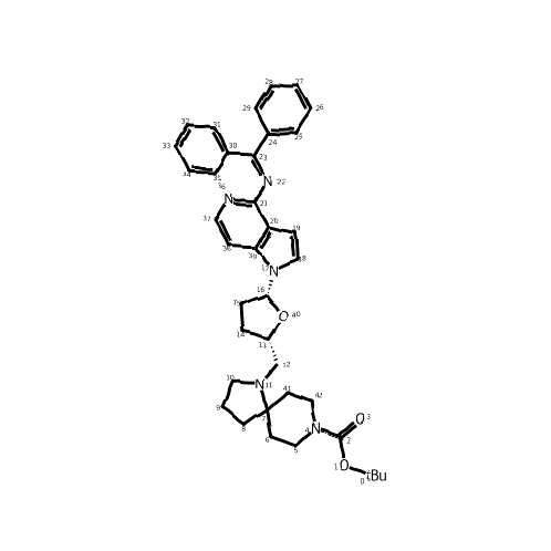 CC(C)(C)OC(=O)N1CCC2(CCCN2C[C@@H]2CC[C@H](n3ccc4c(N=C(c5ccccc5)c5ccccc5)nccc43)O2)CC1